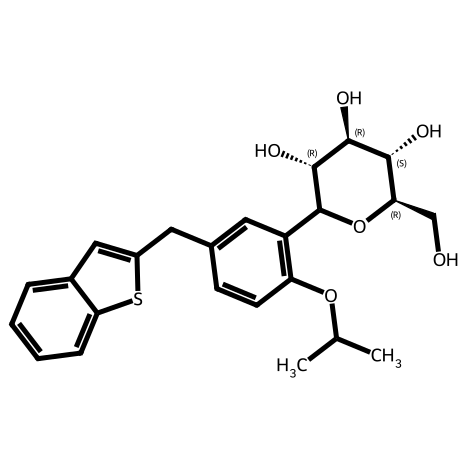 CC(C)Oc1ccc(Cc2cc3ccccc3s2)cc1C1O[C@H](CO)[C@@H](O)[C@H](O)[C@H]1O